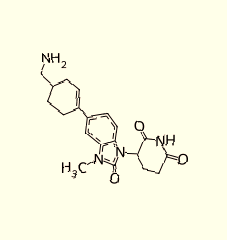 Cn1c(=O)n(C2CCC(=O)NC2=O)c2ccc(C3=CCC(CN)CC3)cc21